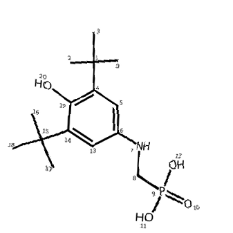 CC(C)(C)c1cc(NCP(=O)(O)O)cc(C(C)(C)C)c1O